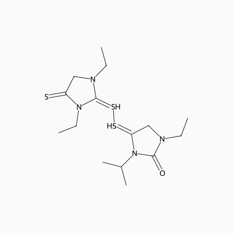 CCN1C/C(=[SH]\[SH]=C2\N(CC)CC(=S)N2CC)N(C(C)C)C1=O